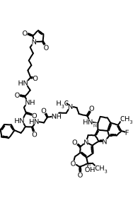 CC[C@@]1(O)C(=O)OCc2c1cc1n(c2=O)Cc2c-1nc1cc(F)c(C)c3c1c2[C@@H](NC(=O)CCN(C)CCNC(=O)CNC(=O)C(Cc1ccccc1)NC(=O)CNC(=O)CNC(=O)CCCCCN1C(=O)C=CC1=O)CC3